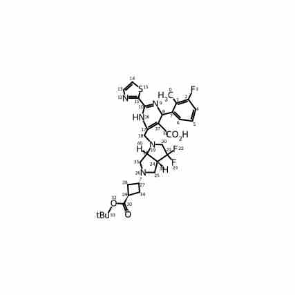 Cc1c(F)cccc1C1N=C(c2nccs2)NC(CN2CC(F)(F)[C@@H]3CN([C@H]4C[C@H](C(=O)OC(C)(C)C)C4)C[C@@H]32)=C1C(=O)O